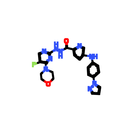 O=C(NNc1ncc(F)c(N2CCOCC2)n1)c1ccc(Nc2ccc(-n3cccn3)cc2)cn1